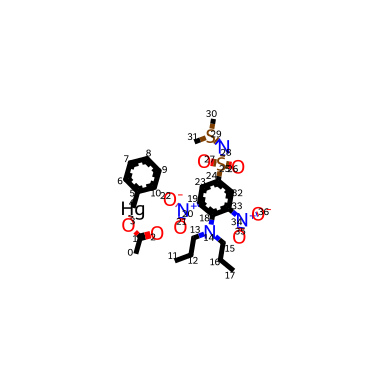 CC(=O)[O][Hg][c]1ccccc1.CCCN(CCC)c1c([N+](=O)[O-])cc(S(=O)(=O)N=S(C)C)cc1[N+](=O)[O-]